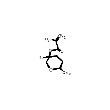 C=C(C)C(=O)OC1(CC)CCC(OC)OC1